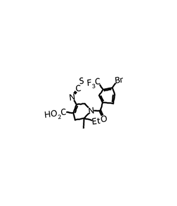 CCC1(C)CC(C(=O)O)=C(N=C=S)CN1C(=O)c1ccc(Br)c(C(F)(F)F)c1